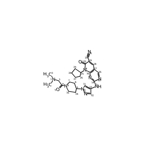 CN(C)CC(=O)N1CCC(n2cc(Nc3ncc4cc(C#N)c(=O)n(C5CCCC5)c4n3)cn2)CC1